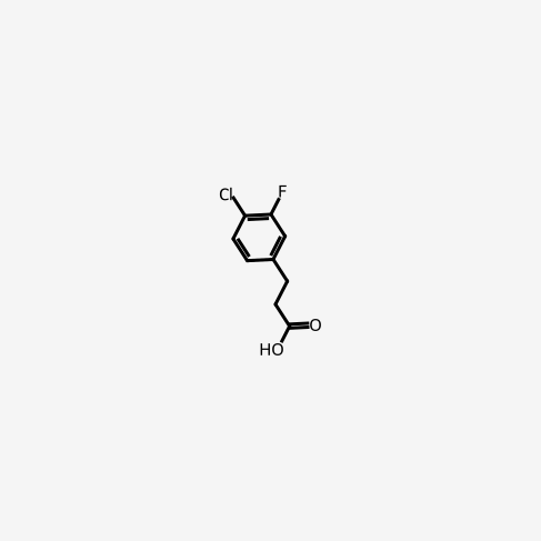 O=C(O)CCc1ccc(Cl)c(F)c1